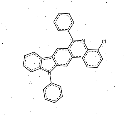 Clc1cccc2c1nc(-c1ccccc1)c1cc3c4ccccc4n(-c4ccccc4)c3cc12